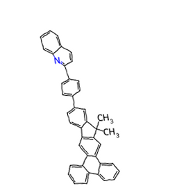 CC1(C)c2cc(-c3ccc(-c4ccc5ccccc5n4)cc3)ccc2-c2cc3c4ccccc4c4ccccc4c3cc21